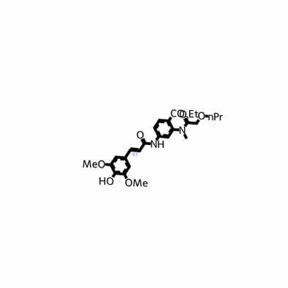 CCCOCC(=O)N(C)c1cc(NC(=O)/C=C/c2cc(OC)c(O)c(OC)c2)ccc1C(=O)OCC